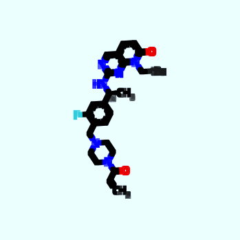 C=CC(=O)N1CCN(Cc2ccc([C@H](C)Nc3ncc4ccc(=O)n(CC(C)(C)C)c4n3)cc2F)CC1